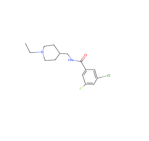 CCN1CCC(CNC(=O)c2cc(F)cc(Cl)c2)CC1